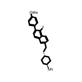 CCC[C@H]1CC[C@H](CCc2ccc3c(F)c(-c4ccc(OC)cc4)ccc3c2)CC1